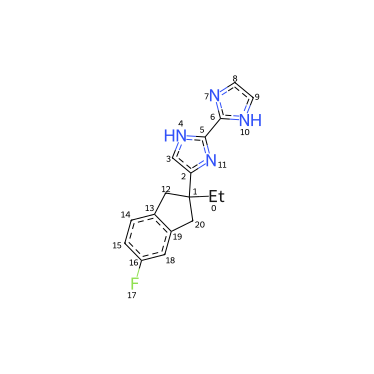 CCC1(c2c[nH]c(-c3ncc[nH]3)n2)Cc2ccc(F)cc2C1